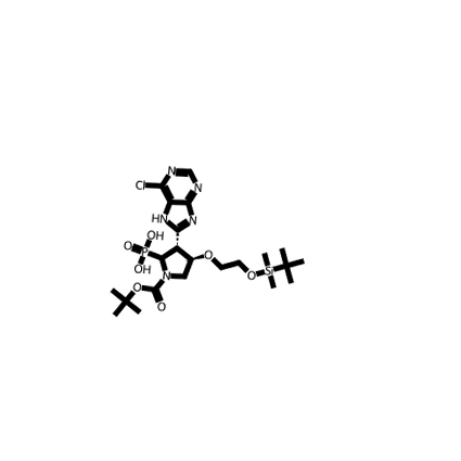 CC(C)(C)OC(=O)N1C[C@H](OCCO[Si](C)(C)C(C)(C)C)[C@@H](c2nc3ncnc(Cl)c3[nH]2)C1P(=O)(O)O